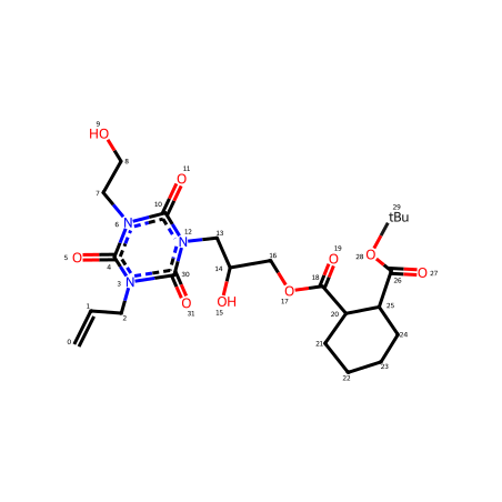 C=CCn1c(=O)n(CCO)c(=O)n(CC(O)COC(=O)C2CCCCC2C(=O)OC(C)(C)C)c1=O